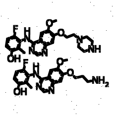 COc1cc2c(Nc3c(F)ccc(O)c3C)ncnc2cc1OCCCN.COc1cc2c(Nc3c(F)ccc(O)c3C)ncnc2cc1OCCN1CCNCC1